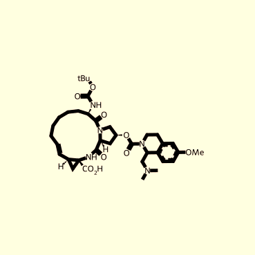 COc1ccc2c(c1)CCN(C(=O)O[C@@H]1C[C@H]3C(=O)N[C@]4(C(=O)O)C[C@H]4/C=C/CCCCC[C@H](NC(=O)OC(C)(C)C)C(=O)N3C1)C2CN(C)C